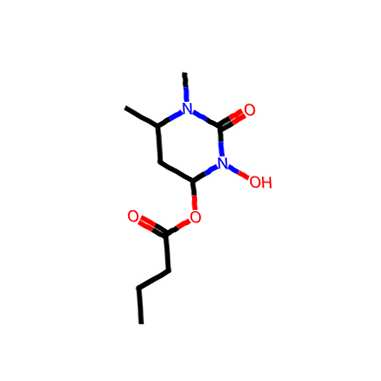 CCCC(=O)OC1CC(C)N(C)C(=O)N1O